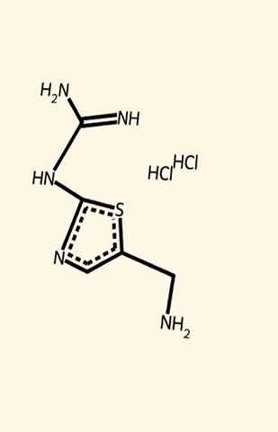 Cl.Cl.N=C(N)Nc1ncc(CN)s1